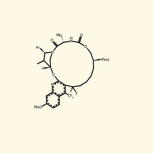 CCCCC[C@H]1CCCCC(F)(F)c2c(nc3cc(OC)ccc3c2C(F)(F)F)O[C@H]2CN(C(=O)[C@H](C(C)(C)C)NC(=O)OC1)[C@H](C(C)=O)C2C